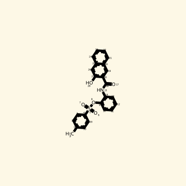 Cc1ccc(S(=O)(=O)Oc2ccccc2NC(=O)c2cc3ccccc3cc2O)cc1